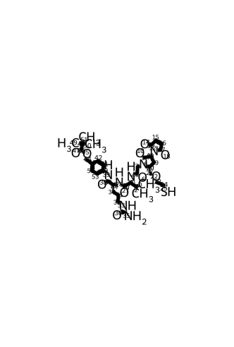 CC(C)[C@H](NC(=O)CN1C(=O)[C@@H](N2C(=O)C=CC2=O)C[C@H]1COCCS)C(=O)N[C@@H](CCCNC(N)=O)C(=O)Nc1ccc(COC(=O)C(C)(C)C)cc1